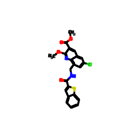 COC(=O)c1cc2cc(Cl)cc(CNC(=O)c3cc4ccccc4s3)c2nc1OC